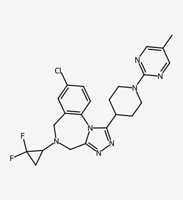 Cc1cnc(N2CCC(c3nnc4n3-c3ccc(Cl)cc3CN(C3CC3(F)F)C4)CC2)nc1